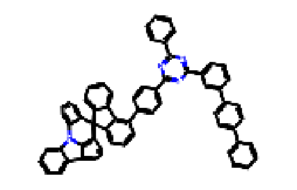 c1ccc(-c2ccc(-c3cccc(-c4nc(-c5ccccc5)nc(-c5ccc(-c6cccc7c6-c6ccccc6C76c7ccccc7-n7c8ccccc8c8cccc6c87)cc5)n4)c3)cc2)cc1